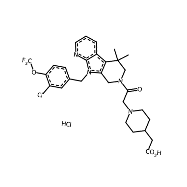 CC1(C)CN(C(=O)CN2CCC(CC(=O)O)CC2)Cc2c1c1cccnc1n2Cc1ccc(OC(F)(F)F)c(Cl)c1.Cl